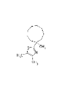 Cc1nc(C2(C)CCCCCCCC2)sc1C